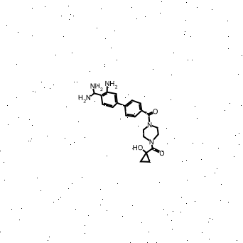 Nc1cc(-c2ccc(C(=O)N3CCN(C(=O)C4(O)CC4)CC3)cc2)ccc1C(N)N